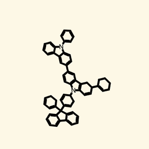 C1=CCCC(C2(C3=CCC(n4c5c(c6cc(-c7ccc8c(c7)c7ccccc7n8-c7ccccc7)ccc64)CC(C4=CCCCC4)C=C5)C=C3)c3ccccc3-c3ccccc32)=C1